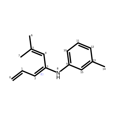 C=C/C=C(\C=C(C)C)Nc1cccc(C)c1